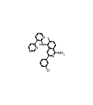 Cc1ccc2c(N)nc(-c3cccc(Cl)c3)cc2c1Nc1ncccc1-c1ccncn1